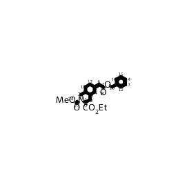 CCOC(=O)C1CC2C/C(=C\C(=O)OCc3ccccc3)CCC2CN1C(=O)OC